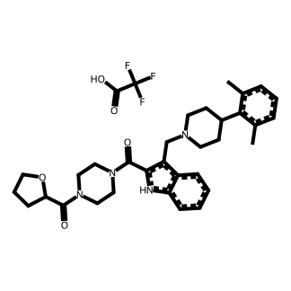 Cc1cccc(C)c1C1CCN(Cc2c(C(=O)N3CCN(C(=O)C4CCCO4)CC3)[nH]c3ccccc23)CC1.O=C(O)C(F)(F)F